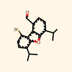 CC(C)c1ccc(Br)c2c1oc1c(C(C)C)ccc(C=O)c12